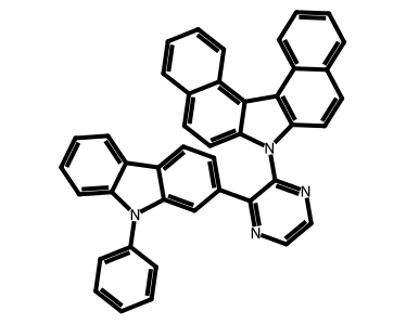 c1ccc(-n2c3ccccc3c3ccc(-c4nccnc4-n4c5ccc6ccccc6c5c5c6ccccc6ccc54)cc32)cc1